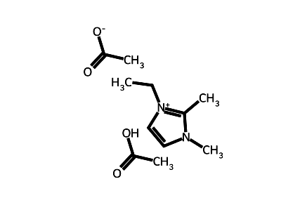 CC(=O)O.CC(=O)[O-].CC[n+]1ccn(C)c1C